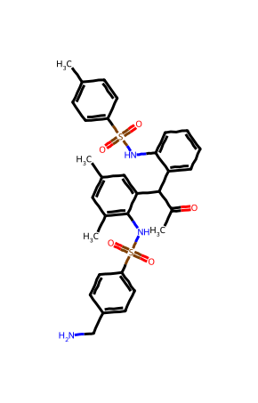 CC(=O)C(c1ccccc1NS(=O)(=O)c1ccc(C)cc1)c1cc(C)cc(C)c1NS(=O)(=O)c1ccc(CN)cc1